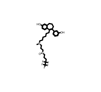 CN(CCCCCCC1=C(c2cccc(O)c2)CCCc2cc(O)ccc21)CCC[S+]([O-])CCCC(F)(F)C(F)(F)F